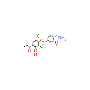 COc1cc(COc2ccc(C(=O)C(C)C)c(O)c2C(F)(F)F)ccc1CN.Cl